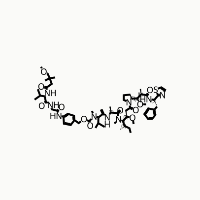 C=C(N[C@@H](C)C(=O)N(C)[C@@H]([C@@H](C)CC)[C@@H](CC(=O)N1CCC[C@H]1[C@H](OC)[C@@H](C)C(=O)N[C@@H](Cc1ccccc1)c1nccs1)OC)C(C(C)C)N(C)C(=O)OCc1ccc(NC(=O)CNC(=O)C(NC(=O)CC(C)(C)COC)C(C)C)cc1